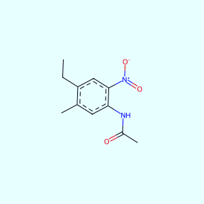 CCc1cc([N+](=O)[O-])c(NC(C)=O)cc1C